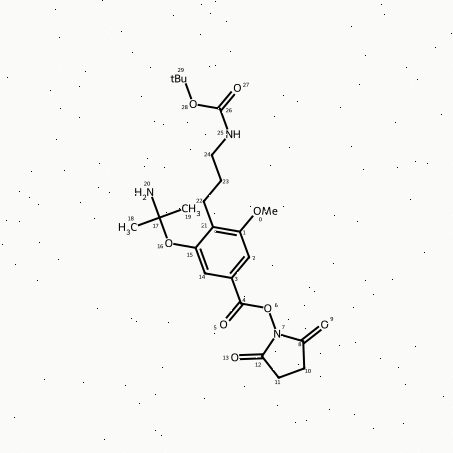 COc1cc(C(=O)ON2C(=O)CCC2=O)cc(OC(C)(C)N)c1CCCNC(=O)OC(C)(C)C